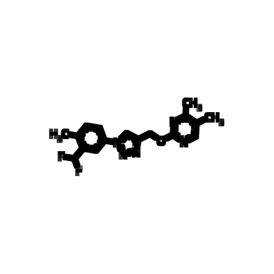 Cc1ccc(-n2cc(COc3ncc(C)c(C)n3)nn2)cc1C(F)F